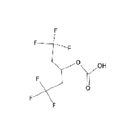 O=C(O)OC(CC(F)(F)F)CC(F)(F)F